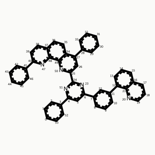 c1ccc(-c2cc(-c3cccc(-c4cccc5cccnc45)c3)nc(-c3cc(-c4ccccc4)c4ccc5ccc(-c6ccccc6)nc5c4n3)n2)cc1